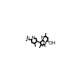 Cc1cc(O)n2nc(C)c(-c3cnc(N(C)C)cc3C)c2n1